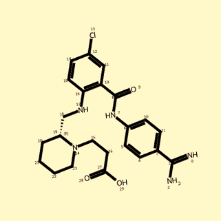 N=C(N)c1ccc(NC(=O)c2cc(Cl)ccc2NC[C@H]2CCCCN2CCC(=O)O)cc1